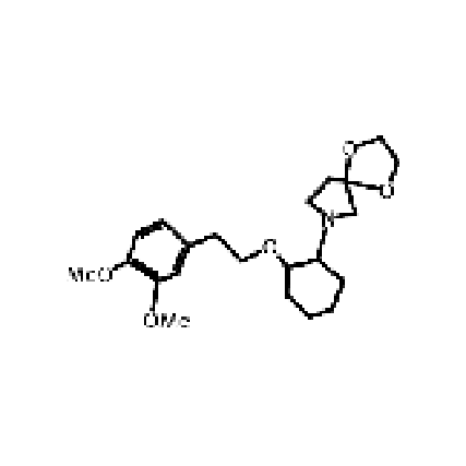 COc1ccc(CCOC2CCCCC2N2CCC3(C2)OCCO3)cc1OC